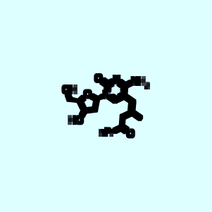 CCCC(=O)CC(C)=Cc1cn([C@H]2CC(O)[C@@H](CO)O2)c(=O)nc1N